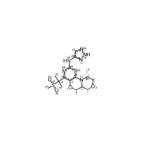 C[C@@H]1COCC2COc3c(nc(Nc4cn[nH]n4)nc3C(C)(C)S(C)(=O)=O)N21